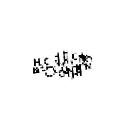 Cc1ccc(Br)c(C)c1NC(=O)NC(C)c1ncnn1-c1ncccn1